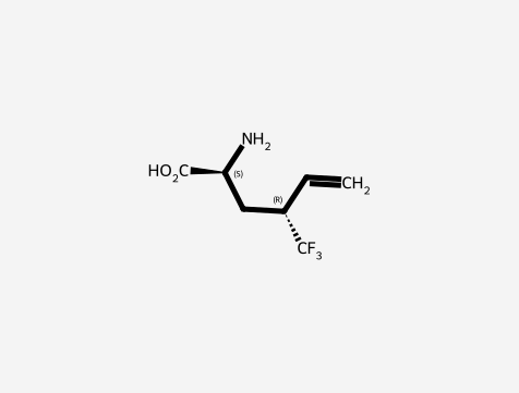 C=C[C@@H](C[C@H](N)C(=O)O)C(F)(F)F